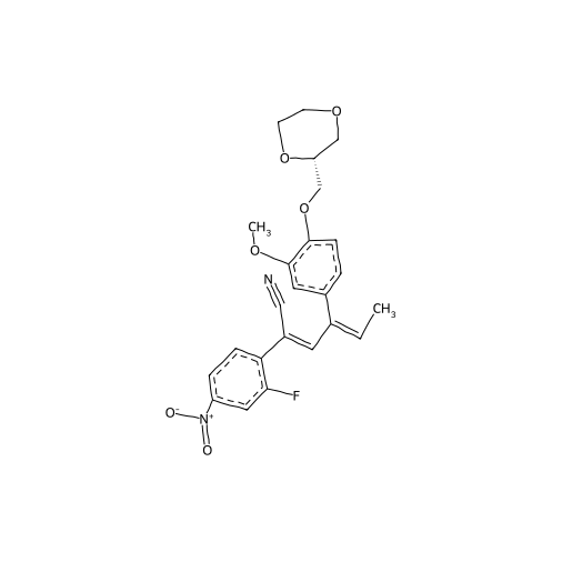 C/C=C(/C=C(\C#N)c1ccc([N+](=O)[O-])cc1F)c1ccc(OC[C@H]2COCCO2)c(OC)c1